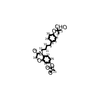 CC(C)(C=O)Oc1ccc(CCCCN2C(=O)COc3cc(OS(C)(=O)=O)ccc32)cc1